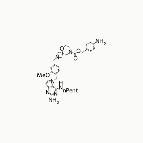 CCCCCNc1nc(N)nc2ccn(Cc3ccc(CN4CC5(C4)CN(C(=O)OCc4ccc(N)cc4)CCO5)cc3OC)c12